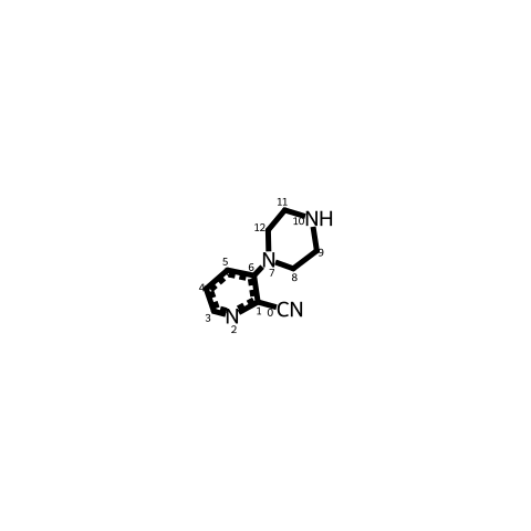 N#Cc1ncccc1N1CCNCC1